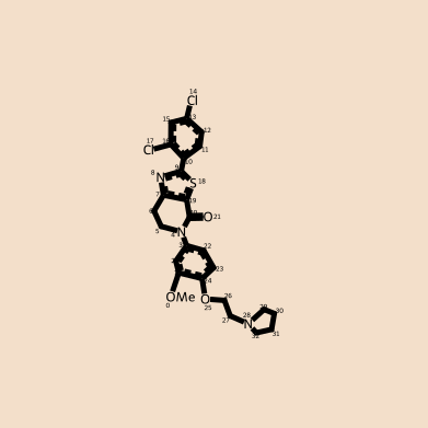 COc1cc(N2CCc3nc(-c4ccc(Cl)cc4Cl)sc3C2=O)ccc1OCCN1CCCC1